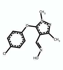 Cc1nn(C)c(Oc2ccc(Cl)cc2)c1C=NO